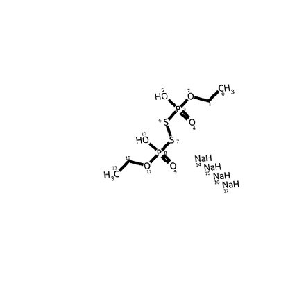 CCOP(=O)(O)SSP(=O)(O)OCC.[NaH].[NaH].[NaH].[NaH]